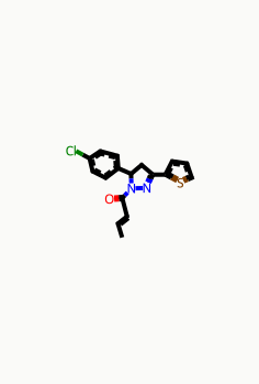 CC=CC(=O)N1N=C(c2cccs2)CC1c1ccc(Cl)cc1